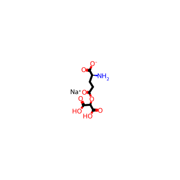 N[C@@H](CCC(=O)OC(C(=O)O)C(=O)O)C(=O)[O-].[Na+]